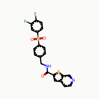 O=C(NCc1ccc(S(=O)(=O)c2ccc(F)c(F)c2)cc1)c1cc2ccncc2s1